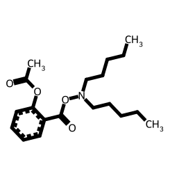 CCCCCN(CCCCC)OC(=O)c1ccccc1OC(C)=O